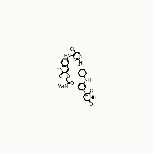 CNC(=O)COc1cc2cc(Nc3nc(NC[C@H]4CC[C@@H](Nc5cccc([C@@H]6CCC(=O)NC6=O)c5)CC4)ncc3Cl)ccc2n(C)c1=O